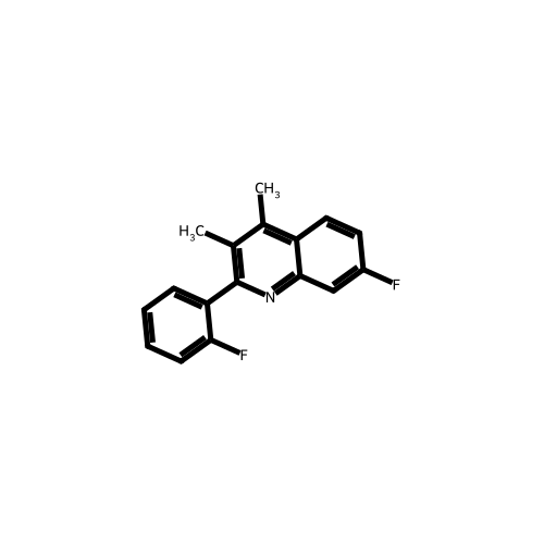 Cc1c(-c2ccccc2F)nc2cc(F)ccc2c1C